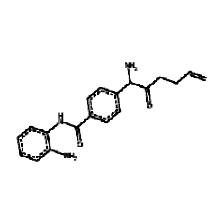 C=CCCC(=O)C(N)c1ccc(C(=O)Nc2ccccc2N)cc1